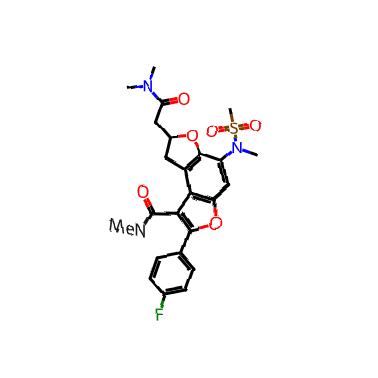 CNC(=O)c1c(-c2ccc(F)cc2)oc2cc(N(C)S(C)(=O)=O)c3c(c12)CC(CC(=O)N(C)C)O3